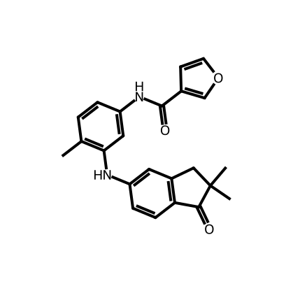 Cc1ccc(NC(=O)c2ccoc2)cc1Nc1ccc2c(c1)CC(C)(C)C2=O